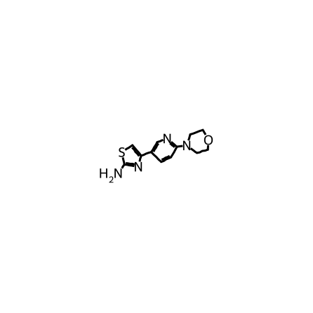 Nc1nc(-c2ccc(N3CCOCC3)nc2)cs1